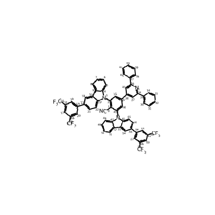 N#Cc1c(-n2c3ccccc3c3cc(-c4cc(C(F)(F)F)cc(C(F)(F)F)c4)ccc32)cc(-c2cc(-c3ccccc3)nc(-c3ccccc3)c2)cc1-n1c2ccccc2c2cc(-c3cc(C(F)(F)F)cc(C(F)(F)F)c3)ccc21